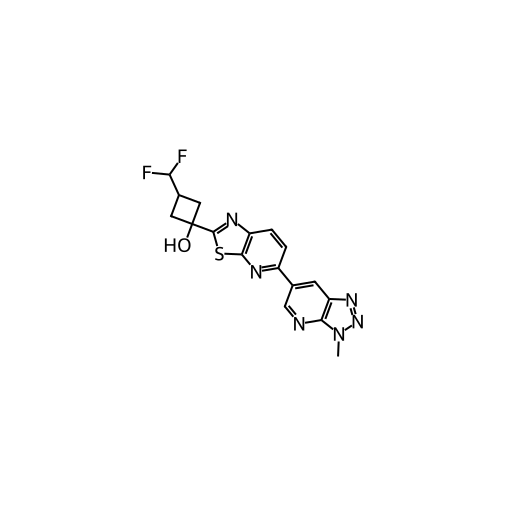 Cn1nnc2cc(-c3ccc4nc(C5(O)CC(C(F)F)C5)sc4n3)cnc21